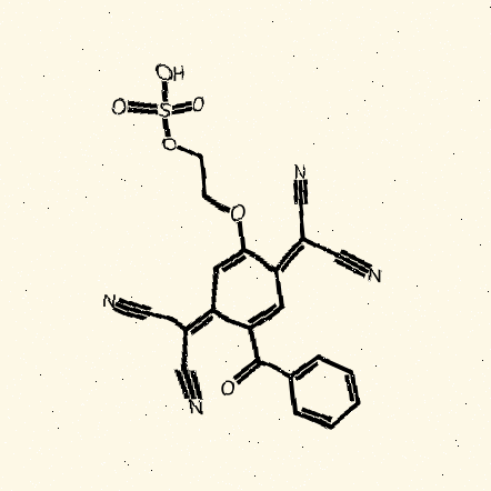 N#CC(C#N)=c1cc(C(=O)c2ccccc2)c(=C(C#N)C#N)cc1OCCOS(=O)(=O)O